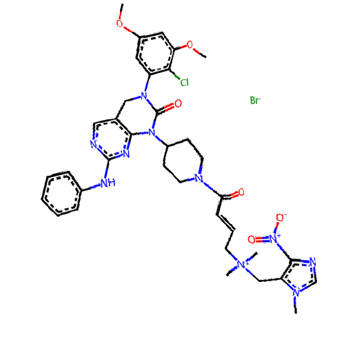 COc1cc(OC)c(Cl)c(N2Cc3cnc(Nc4ccccc4)nc3N(C3CCN(C(=O)/C=C/C[N+](C)(C)Cc4c([N+](=O)[O-])ncn4C)CC3)C2=O)c1.[Br-]